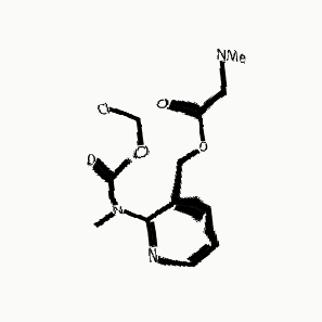 CNCC(=O)OCc1cccnc1N(C)C(=O)OCCl